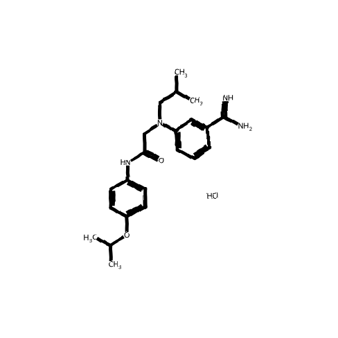 CC(C)CN(CC(=O)Nc1ccc(OC(C)C)cc1)c1cccc(C(=N)N)c1.Cl